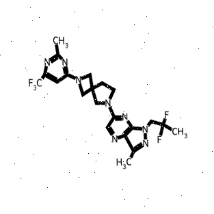 Cc1nc(N2CC3(CCN(c4cnc5c(C)nn(CC(C)(F)F)c5n4)C3)C2)cc(C(F)(F)F)n1